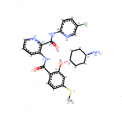 CSc1ccc(C(=O)Nc2cccnc2C(=O)Nc2ccc(Cl)cn2)c(O[C@H]2CC[C@H](N)CC2)c1